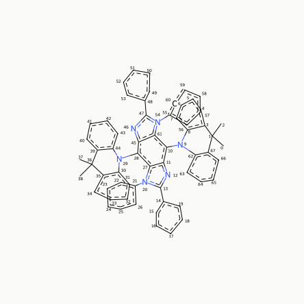 CC1(C)c2ccccc2N(c2c3nc(-c4ccccc4)n(-c4ccccc4)c3c(N3c4ccccc4C(C)(C)c4ccccc43)c3nc(-c4ccccc4)n(-c4ccccc4)c23)c2ccccc21